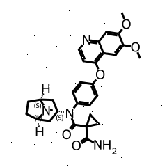 COc1cc2nccc(Oc3ccc(N(C(=O)C4(C(N)=O)CC4)[C@@H]4C[C@H]5CC[C@@H](C4)N5C)cc3)c2cc1OC